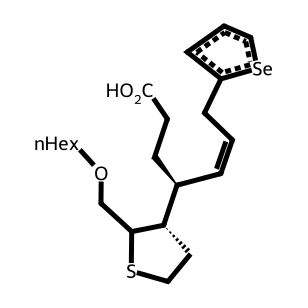 CCCCCCOCC1SCC[C@H]1[C@H](/C=C\Cc1ccc[se]1)CCC(=O)O